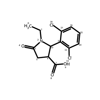 CCN1C(=O)CC(C(=O)O)C1c1c(Cl)cccc1Cl